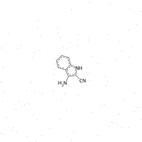 N#Cc1[nH]c2ccccc2c1N